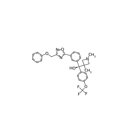 CN1CC(C)([C@](O)(c2ccc(OC(F)(F)F)cc2)c2cccc(-c3nc(COc4ccccc4)no3)c2)C1